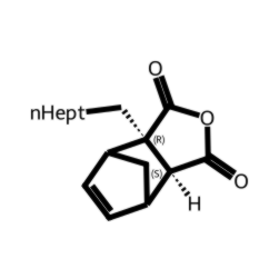 CCCCCCCC[C@]12C(=O)OC(=O)[C@H]1C1C=CC2C1